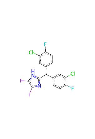 Fc1ccc(C(c2ccc(F)c(Cl)c2)c2nc(I)c(I)[nH]2)cc1Cl